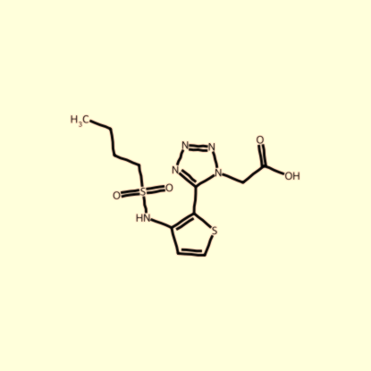 CCCCS(=O)(=O)Nc1ccsc1-c1nnnn1CC(=O)O